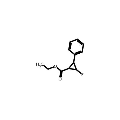 CCOC(=O)C1C(F)C1c1ccccc1